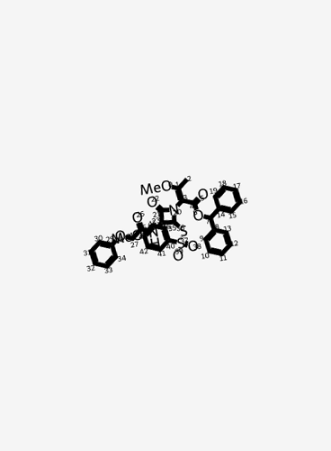 CO/C(C)=C(/C(=O)OC(c1ccccc1)c1ccccc1)N1C(=O)C(NC(=O)COc2ccccc2)C1SS(=O)(=O)c1ccc(OC)cc1